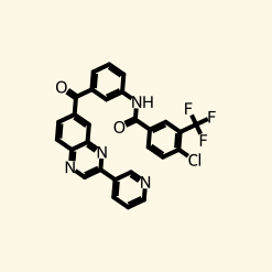 O=C(Nc1cccc(C(=O)c2ccc3ncc(-c4cccnc4)nc3c2)c1)c1ccc(Cl)c(C(F)(F)F)c1